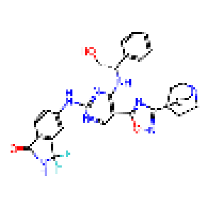 O=C1NC(F)(F)c2cc(Nc3ncc(-c4nc(C56CCN(CC5)CC6)no4)c(N[C@H](CO)c4ccccc4)n3)ccc21